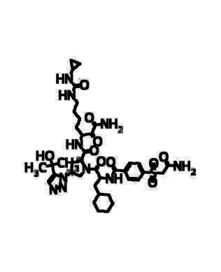 CC(C)(O)c1cnnn1[C@H]1C[C@@H](C(=O)NC(CCCCNC(=O)NC2CC2)C(=O)C(N)=O)N(C(=O)C(CC2CCCCC2)NC(=O)c2ccc(S(=O)(=O)CC(N)=O)cc2)C1